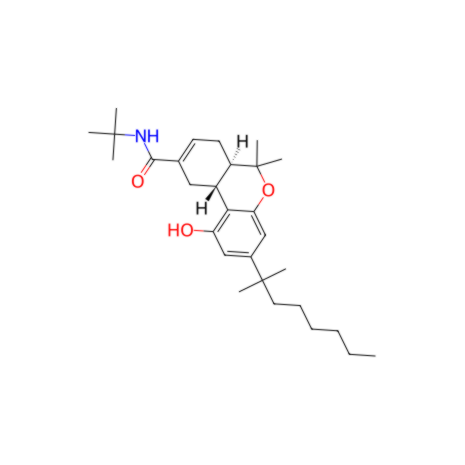 CCCCCCC(C)(C)c1cc(O)c2c(c1)OC(C)(C)[C@@H]1CC=C(C(=O)NC(C)(C)C)C[C@@H]21